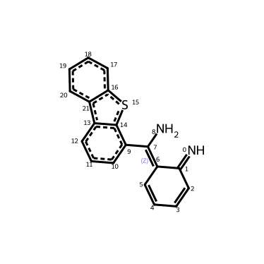 N=C1C=CC=C/C1=C(/N)c1cccc2c1sc1ccccc12